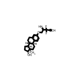 C#CC(F)(F)C(=N)COc1ccc2c(c1)CC[C@@H]1[C@@H]2CC[C@]2(C)[C@@H](O)CC[C@@H]12